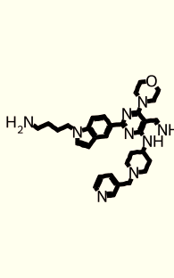 N=Cc1c(NC2CCN(Cc3cccnc3)CC2)nc(-c2ccc3c(ccn3CCCCN)c2)nc1N1CCOCC1